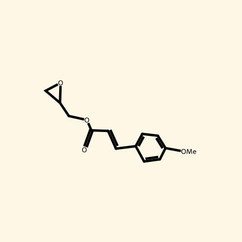 COc1ccc(/C=C/C(=O)OCC2CO2)cc1